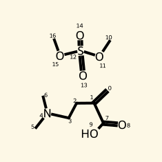 C=C(CCN(C)C)C(=O)O.COS(=O)(=O)OC